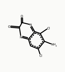 Nc1c(Cl)cc2c(c1Cl)=NC(=O)C(=O)N=2